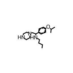 CCCCNC(CN1CCNCC1)c1ccc(OC(C)C)cc1